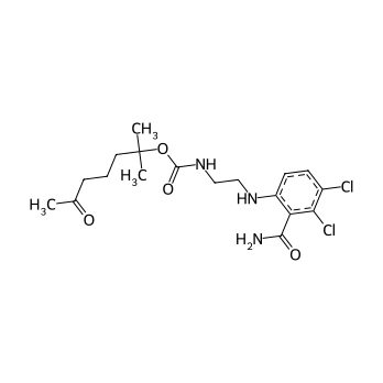 CC(=O)CCCC(C)(C)OC(=O)NCCNc1ccc(Cl)c(Cl)c1C(N)=O